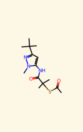 CC(=O)SC(C)(C)C(=O)Nc1cc(C(C)(C)C)nn1C